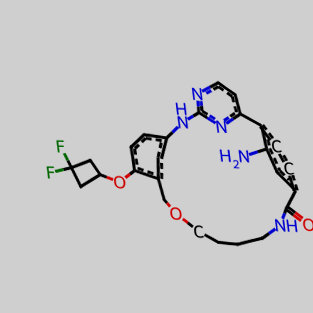 Nc1cc2ccc1-c1ccnc(n1)Nc1ccc(OC3CC(F)(F)C3)c(c1)COCCCCNC2=O